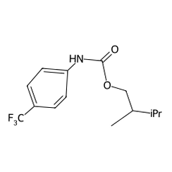 CC(C)C(C)COC(=O)Nc1ccc(C(F)(F)F)cc1